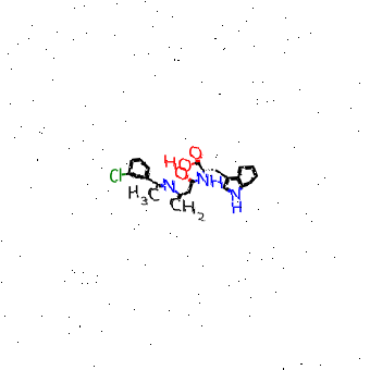 C=C(CC(=O)N[C@@H](Cc1c[nH]c2ccccc12)C(=O)O)/N=C(\C)c1cccc(Cl)c1